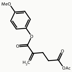 C=C(CCC(=O)OC(C)=O)C(=O)Oc1ccc(OC)cc1